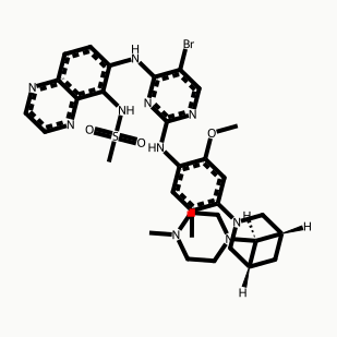 COc1cc(N2C[C@H]3C[C@@H](C2)[C@@H]3N2CCN(C)CC2)c(C)cc1Nc1ncc(Br)c(Nc2ccc3nccnc3c2NS(C)(=O)=O)n1